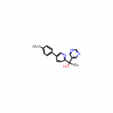 CSc1ccc(-c2ccc(C(O)(c3cncnc3)C(C)(C)C)nc2)cc1